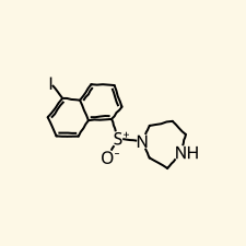 [O-][S+](c1cccc2c(I)cccc12)N1CCCNCC1